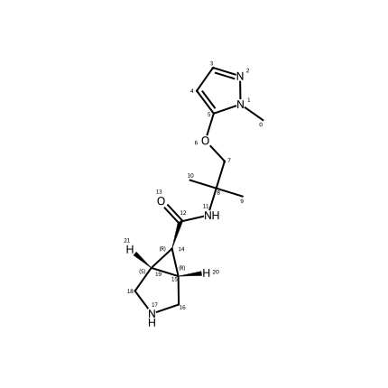 Cn1nccc1OCC(C)(C)NC(=O)[C@H]1[C@@H]2CNC[C@@H]21